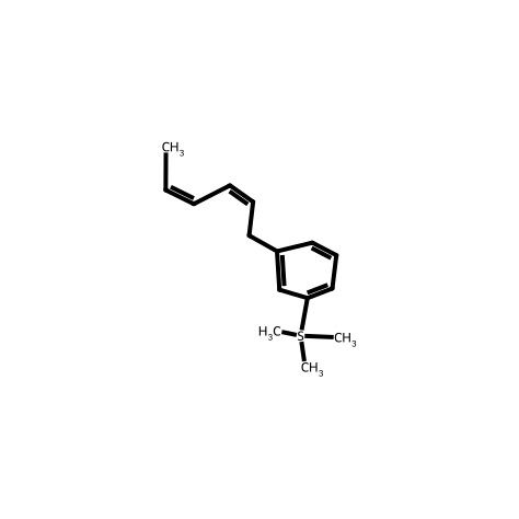 C/C=C\C=C/Cc1cccc(S(C)(C)C)c1